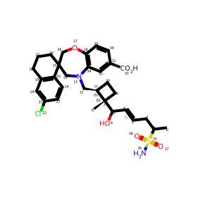 CC(C/C=C/C(O)[C@@]1(C)CC[C@@H]1CN1CC2(CCCc3cc(Cl)ccc32)COc2ccc(C(=O)O)cc21)S(N)(=O)=O